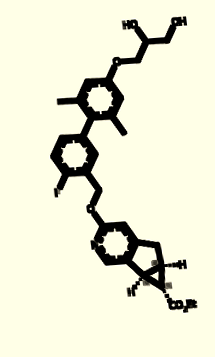 CCOC(=O)[C@H]1[C@@H]2Cc3cc(OCc4cc(-c5c(C)cc(OCC(O)CO)cc5C)ccc4F)ncc3[C@@H]21